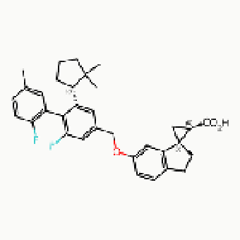 Cc1ccc(F)c(-c2c(F)cc(COc3ccc4c(c3)[C@]3(CC4)C[C@H]3C(=O)O)cc2[C@@H]2CCCC2(C)C)c1